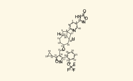 O=c1[nH]c(-c2ccc(C34C[C@H]5CC[C@H](OCc6c(-c7ccccc7OC(F)(F)F)noc6C6CC6)C[C@H](C3)C54)nc2)no1